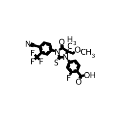 COC[C@]1(C)C(=O)N(c2ccc(C#N)c(C(F)(F)F)c2)C(=S)N1c1ccc(C(=O)O)c(F)c1